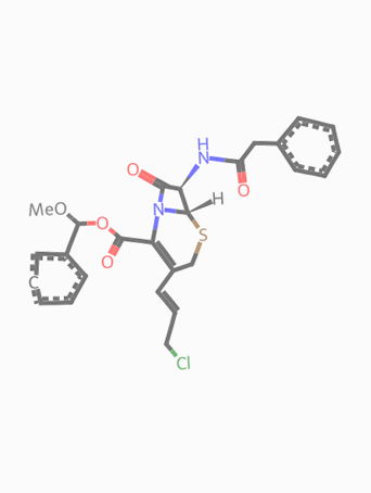 COC(OC(=O)C1=C(/C=C/CCl)CS[C@H]2[C@H](NC(=O)Cc3ccccc3)C(=O)N12)c1ccccc1